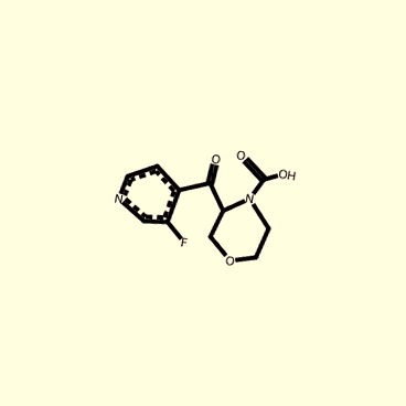 O=C(c1ccncc1F)C1COCCN1C(=O)O